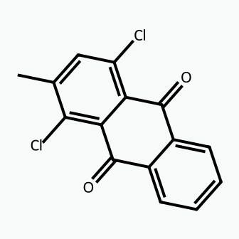 Cc1cc(Cl)c2c(c1Cl)C(=O)c1ccccc1C2=O